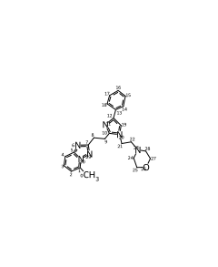 Cc1cccc2nc(CCc3nc(-c4ccccc4)cn3CCN3CCOCC3)nn12